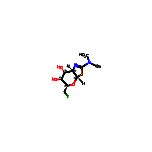 CC(C)(C)N(C(=O)O)C1=N[C@@H]2[C@@H](O)[C@H](O)[C@@H](CF)O[C@@H]2S1